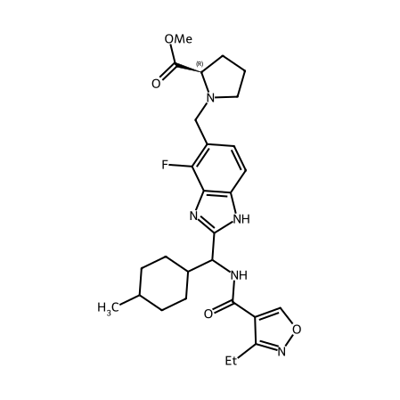 CCc1nocc1C(=O)NC(c1nc2c(F)c(CN3CCC[C@@H]3C(=O)OC)ccc2[nH]1)C1CCC(C)CC1